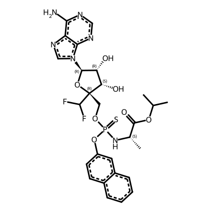 CC(C)OC(=O)[C@H](C)NP(=S)(OC[C@@]1(C(F)F)O[C@@H](n2cnc3c(N)ncnc32)[C@H](O)[C@@H]1O)Oc1ccc2ccccc2c1